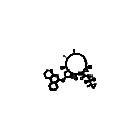 C[C@H]1CC/C=C\[C@@H]2C[C@@]2(C(=O)NS(=O)(=O)C2(C)CC2)NC(=O)[C@@H]2C[C@@H](Oc3nc4c(c5ccccc35)CCCO4)CN2C(=O)C[C@H](C)C1